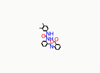 Cc1ccc(NC(=O)Nc2ccccc2-c2nc3ccccc3c(=O)o2)cc1C